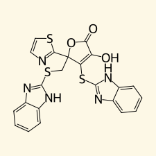 O=C1OC(CSc2nc3ccccc3[nH]2)(c2nccs2)C(Sc2nc3ccccc3[nH]2)=C1O